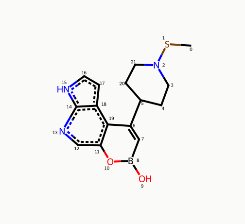 CSN1CCC(C2=CB(O)Oc3cnc4[nH]ccc4c32)CC1